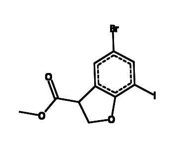 COC(=O)C1COc2c(I)cc(Br)cc21